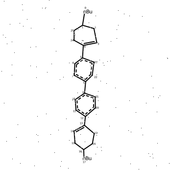 CCCCC1CC=C(c2ccc(-c3ccc(C4=CCC(CCCC)CC4)cc3)cc2)CC1